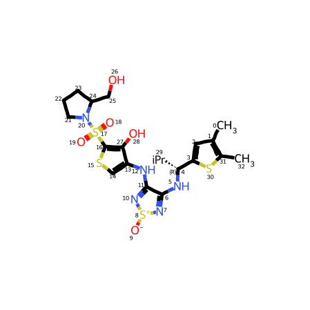 Cc1cc([C@H](Nc2n[s+]([O-])nc2Nc2csc(S(=O)(=O)N3CCCC3CO)c2O)C(C)C)sc1C